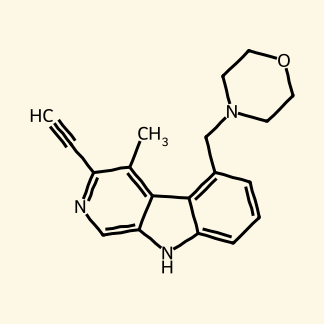 C#Cc1ncc2[nH]c3cccc(CN4CCOCC4)c3c2c1C